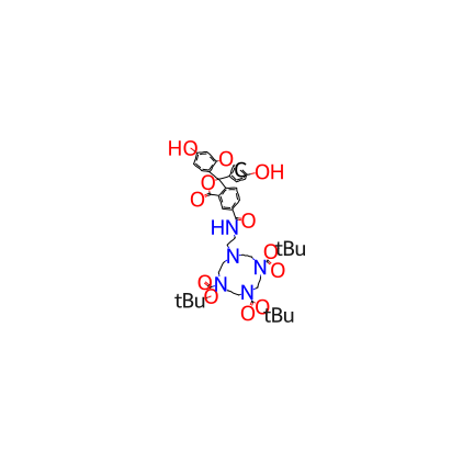 CC(C)(C)OC(=O)N1CCN(CCNC(=O)c2ccc3c(c2)C(=O)OC32c3ccc(O)cc3Oc3cc(O)ccc32)CCN(C(=O)OC(C)(C)C)CCN(C(=O)OC(C)(C)C)CC1